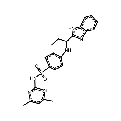 CCC(Nc1ccc(S(=O)(=O)Nc2nc(C)cc(C)n2)cc1)c1nc2ccccc2[nH]1